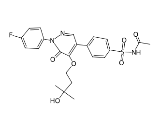 CC(=O)NS(=O)(=O)c1ccc(-c2cnn(-c3ccc(F)cc3)c(=O)c2OCCC(C)(C)O)cc1